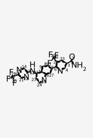 NC(=O)c1cnc(-c2ccc3c(Nc4cnc(C(F)(F)F)cn4)ccnc3c2)c(C(F)(F)F)c1